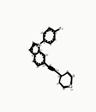 Fc1ccc(-n2ccc3ccc(C#CC4CCOCC4)cc32)cc1